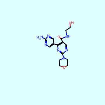 Nc1ncc(-c2nc(N3CCOCC3)ncc2C(=O)NCCO)cn1